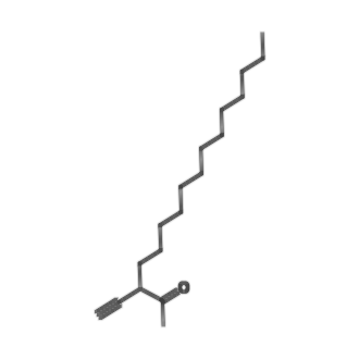 C#CC(CCCCCCCCCCCCC)C(C)=O